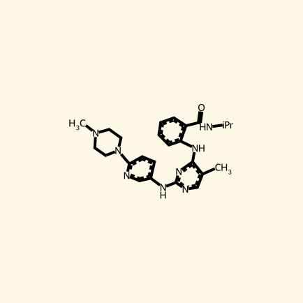 Cc1cnc(Nc2ccc(N3CCN(C)CC3)nc2)nc1Nc1ccccc1C(=O)NC(C)C